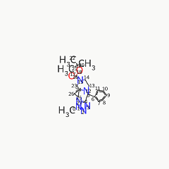 Cn1nnc(C(c2ccccc2)N2CCN(C(=O)OC(C)(C)C)CC23CC3)n1